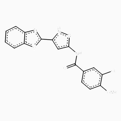 COc1ccc(C(=O)Nc2cc(-c3nc4ccccc4o3)[nH]n2)cc1Cl